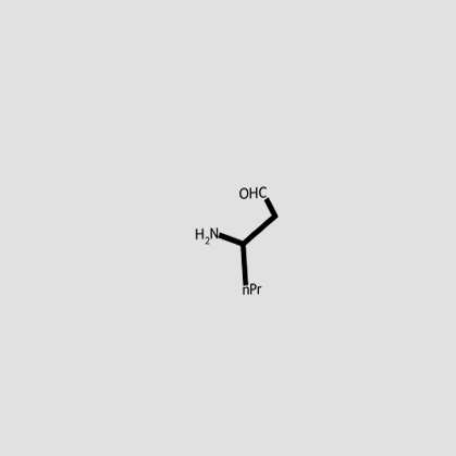 CCCC(N)CC=O